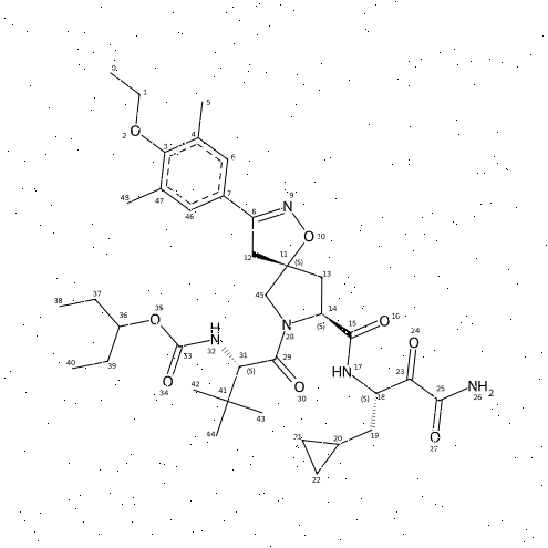 CCOc1c(C)cc(C2=NO[C@]3(C2)C[C@@H](C(=O)N[C@@H](CC2CC2)C(=O)C(N)=O)N(C(=O)[C@@H](NC(=O)OC(CC)CC)C(C)(C)C)C3)cc1C